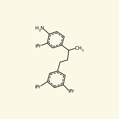 CC(C)c1cc(CCC(C)c2ccc(N)c(C(C)C)c2)cc(C(C)C)c1